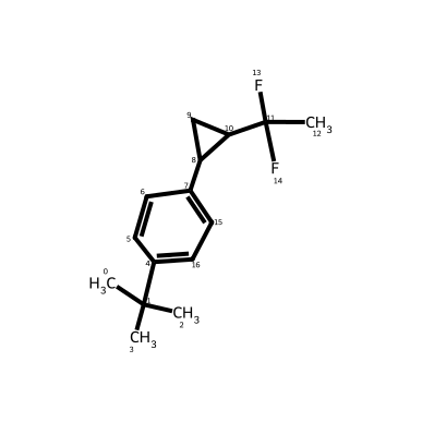 CC(C)(C)c1ccc(C2CC2C(C)(F)F)cc1